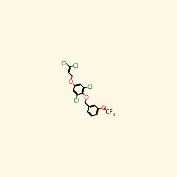 FC(F)(F)Oc1cccc(COc2c(Cl)cc(OCC=C(Cl)Cl)cc2Cl)c1